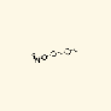 CCCC1CCC(CCC2CCC(c3ccc(N=C=S)cc3)CC2)CC1